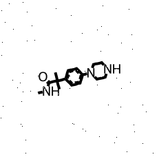 CNC(=O)C(C)(C)c1ccc(N2CCNCC2)cc1